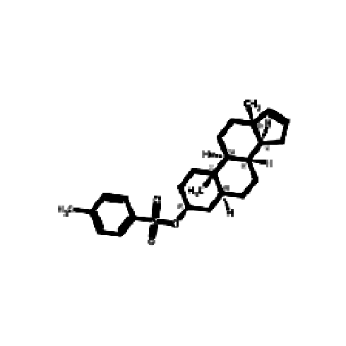 Cc1ccc(S(=O)(=O)O[C@H]2CC[C@@]3(C)[C@@H](CC[C@@H]4[C@@H]3CC[C@]3(C)C=CC[C@@H]43)C2)cc1